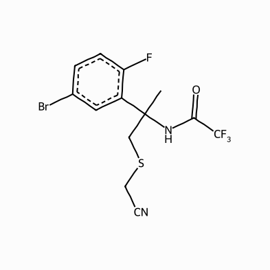 CC(CSCC#N)(NC(=O)C(F)(F)F)c1cc(Br)ccc1F